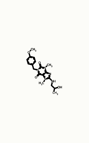 COc1ccc(Cn2c(=O)c3c(nc(NCC(C)O)n3C)n(C)c2=O)cc1